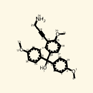 COc1ccc(C(O)(c2ccc(OC)cc2)c2ccc(OC)c(C#CCN)c2)cc1